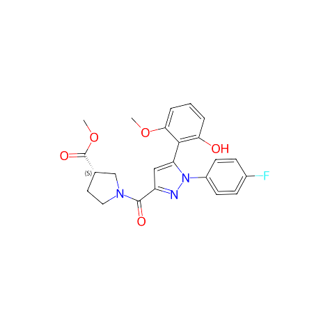 COC(=O)[C@H]1CCN(C(=O)c2cc(-c3c(O)cccc3OC)n(C3=C=C=C(F)C=C3)n2)C1